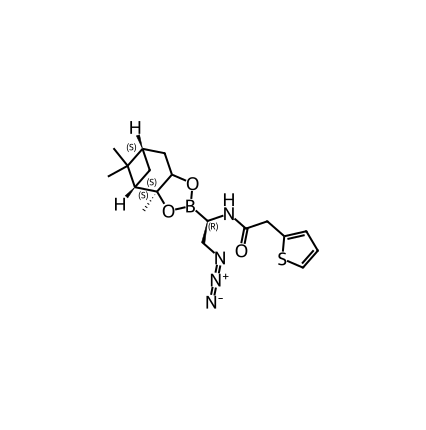 CC1(C)[C@@H]2CC3OB([C@H](CN=[N+]=[N-])NC(=O)Cc4cccs4)O[C@@]3(C)[C@H]1C2